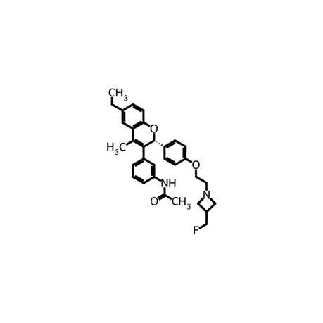 CCc1ccc2c(c1)C(C)=C(c1cccc(NC(C)=O)c1)[C@@H](c1ccc(OCCN3CC(CF)C3)cc1)O2